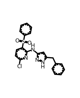 O=S(=O)(c1ccccc1)c1ccc(Cl)nc1Nc1cc(Cc2ccccc2)[nH]n1